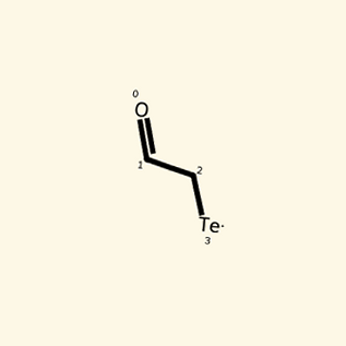 O=CC[Te]